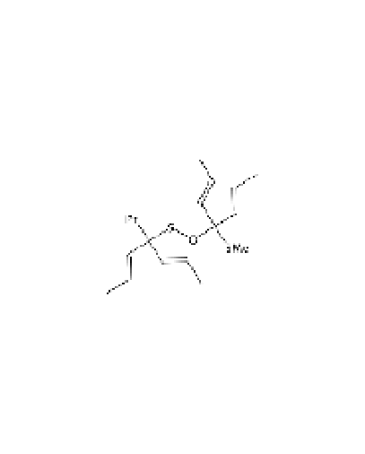 CC=CC(C=CC)(OSC(C=CC)(C=CC)C(C)C)SC